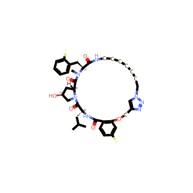 CC(C)C[C@H]1NC(=O)c2ccc(F)cc2OCc2cn(nn2)CCCCCCCNC(=O)[C@H](Cc2ccccc2F)N(C)C(=O)[C@H]2C[C@H](O)CN2C1=O